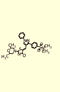 CC1CN(C2=NC(=O)/C(=C/c3cn(-c4ccccc4)nc3-c3ccc(S(=O)(=O)N(C)C)cc3)S2)CC(C)O1